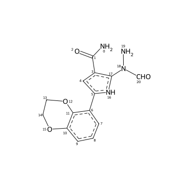 NC(=O)c1cc(-c2cccc3c2OCCO3)[nH]c1N(N)C=O